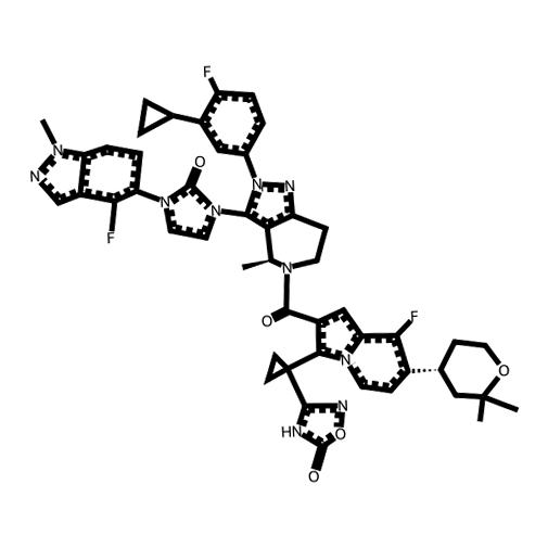 C[C@H]1c2c(nn(-c3ccc(F)c(C4CC4)c3)c2-n2ccn(-c3ccc4c(cnn4C)c3F)c2=O)CCN1C(=O)c1cc2c(F)c([C@@H]3CCOC(C)(C)C3)ccn2c1C1(c2noc(=O)[nH]2)CC1